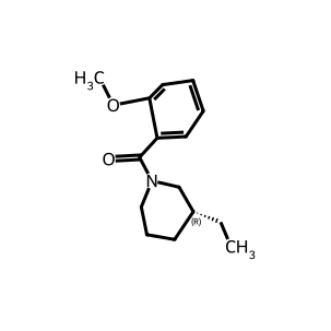 CC[C@@H]1CCCN(C(=O)c2ccccc2OC)C1